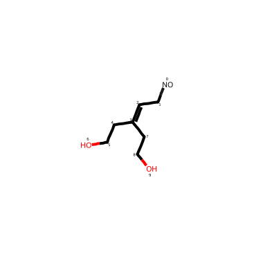 O=NCC=C(CCO)CCO